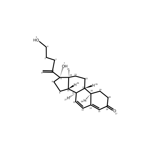 C=C(CCCO)[C@]1(O)CC[C@H]2[C@@H]3C=CC4=CC(=O)CC[C@@H]4[C@H]3CC[C@@]21C